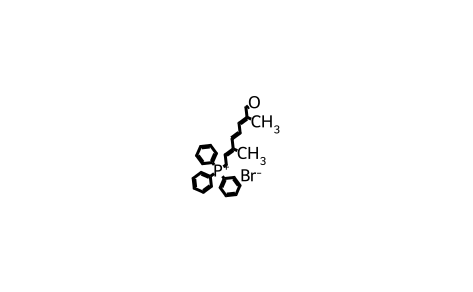 C\C(C=O)=C/C=C/C(C)=C/C[P+](c1ccccc1)(c1ccccc1)c1ccccc1.[Br-]